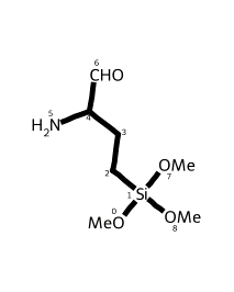 CO[Si](CCC(N)C=O)(OC)OC